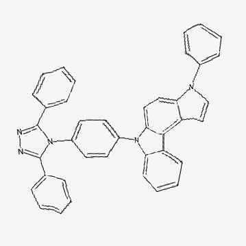 c1ccc(-c2nnc(-c3ccccc3)n2-c2ccc(-n3c4ccccc4c4c5ccn(-c6ccccc6)c5ccc43)cc2)cc1